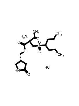 CCCC(CCC)S(=O)(=O)C[C@](N)(C(N)=O)C(=O)OC[C@H]1CNC(=O)C1.Cl